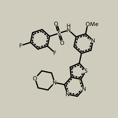 COc1ncc(-c2cc3c(N4CCOCC4)ncnc3s2)cc1NS(=O)(=O)c1ccc(F)cc1F